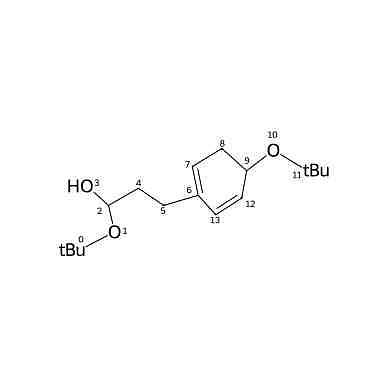 CC(C)(C)OC(O)CCC1=CCC(OC(C)(C)C)C=C1